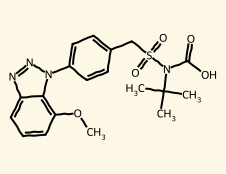 COc1cccc2nnn(-c3ccc(CS(=O)(=O)N(C(=O)O)C(C)(C)C)cc3)c12